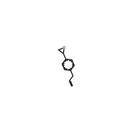 C=CCc1ccc(C2CO2)cc1